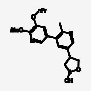 CCCOc1cc(-c2cc(C3COB(O)C3)cnc2C)cnc1OC